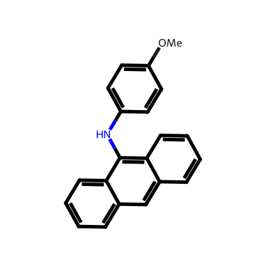 COc1ccc(Nc2c3ccccc3cc3ccccc23)cc1